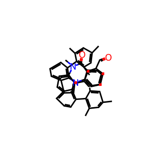 Cc1cc(C)c(-c2cccc3c4cccc(-c5c(C)cc(C)cc5C)c4n(-c4cccc(C=O)c4C(=O)N(C)c4ccccc4-c4ccccc4)c23)c(C)c1